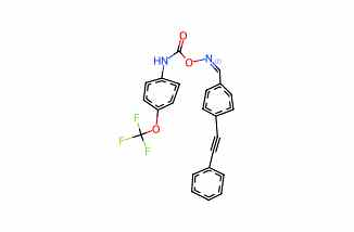 O=C(Nc1ccc(OC(F)(F)F)cc1)O/N=C\c1ccc(C#Cc2ccccc2)cc1